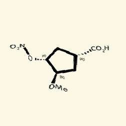 CO[C@@H]1C[C@@H](C(=O)O)C[C@H]1O[N+](=O)[O-]